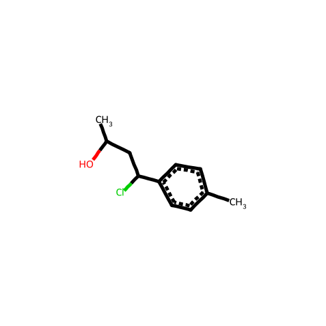 Cc1ccc(C(Cl)CC(C)O)cc1